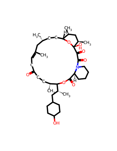 C/C1=C\CC(=O)CC[C@@H](C)C([C@H](C)CC2CCC(O)CC2)OC(=O)[C@@H]2CCCCN2C(=O)C(=O)[C@]2(O)O[C@H](CC[C@@H](C)C1)[C@@H](C)C[C@H]2C